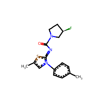 Cc1ccc(-n2cc(C)s/c2=N\C(=O)N2CC[C@@H](F)C2)cc1